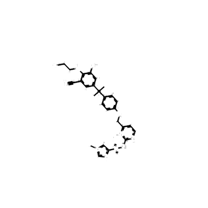 Cn1cnc(S(=O)(=O)Nc2nccc(COc3ccc(C(C)(C)c4cc(Cl)c(OCCCl)c(C#N)c4)cc3)n2)c1